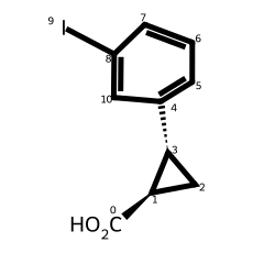 O=C(O)[C@@H]1C[C@H]1c1cccc(I)c1